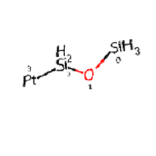 [SiH3]O[SiH2][Pt]